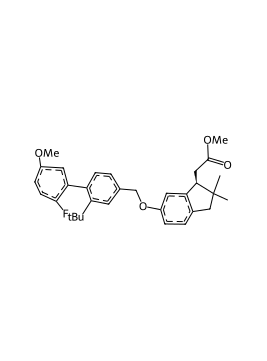 COC(=O)C[C@@H]1c2cc(OCc3ccc(-c4cc(OC)ccc4F)c(C(C)(C)C)c3)ccc2CC1(C)C